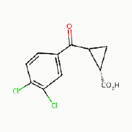 O=C(c1ccc(Cl)c(Cl)c1)C1C[C@@H]1C(=O)O